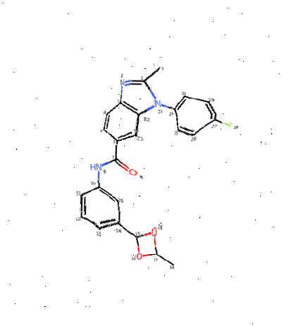 Cc1nc2ccc(C(=O)Nc3cccc(C4OC(C)O4)c3)cc2n1-c1ccc(F)cc1